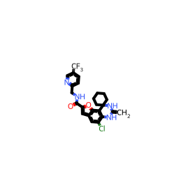 C=C1Nc2c(Cl)cc3cc(C(=O)NCc4ccc(C(F)(F)F)cn4)oc3c2C2(CCCCC2)N1